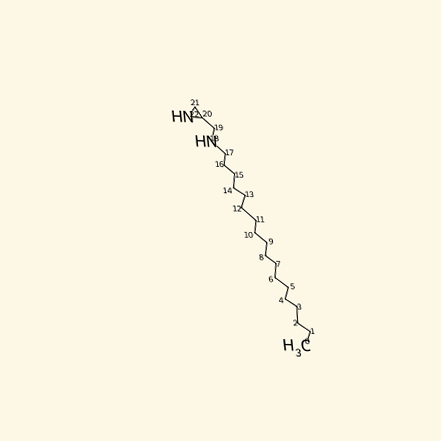 CCCCCCCCCCCCCCCCCCNCC1CN1